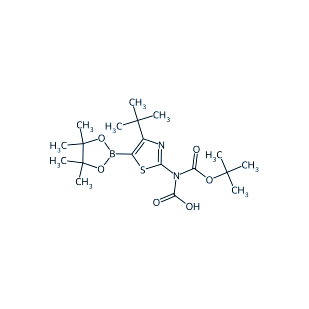 CC(C)(C)OC(=O)N(C(=O)O)c1nc(C(C)(C)C)c(B2OC(C)(C)C(C)(C)O2)s1